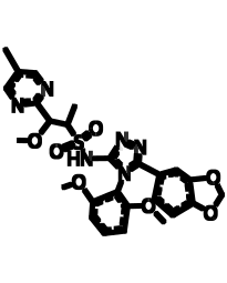 COc1cccc(OC)c1-n1c(NS(=O)(=O)C(C)C(OC)c2ncc(C)cn2)nnc1-c1ccc2c(c1)OCO2